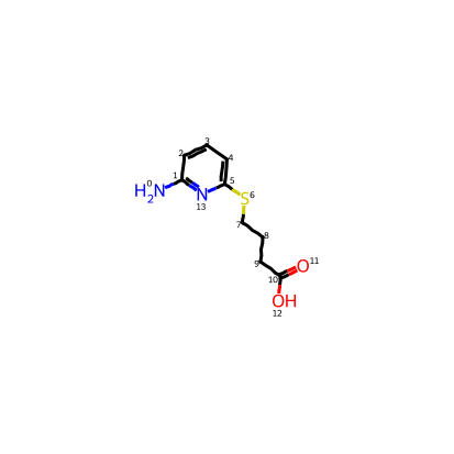 Nc1cccc(SCCCC(=O)O)n1